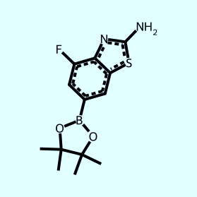 CC1(C)OB(c2cc(F)c3nc(N)sc3c2)OC1(C)C